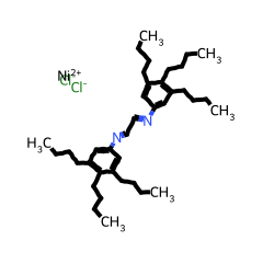 CCCCc1cc(N=CC=Nc2cc(CCCC)c(CCCC)c(CCCC)c2)cc(CCCC)c1CCCC.[Cl-].[Cl-].[Ni+2]